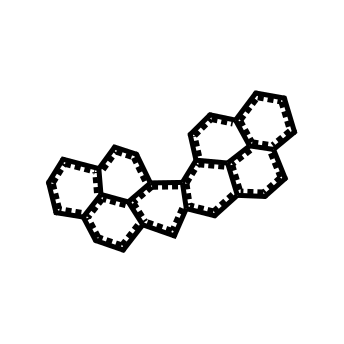 c1cc2ccc3cc4cc5ccc6cccc7ccc(c4c4ccc(c1)c2c34)c5c67